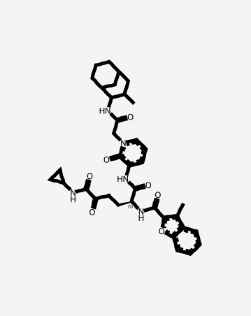 Cc1c(C(=O)N[C@@H](CCC(=O)C(=O)NC2CC2)C(=O)Nc2cccn(CC(=O)NC3C(C)CC4CCCC3C4)c2=O)oc2ccccc12